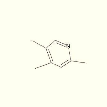 [CH2]c1cnc(C)cc1C